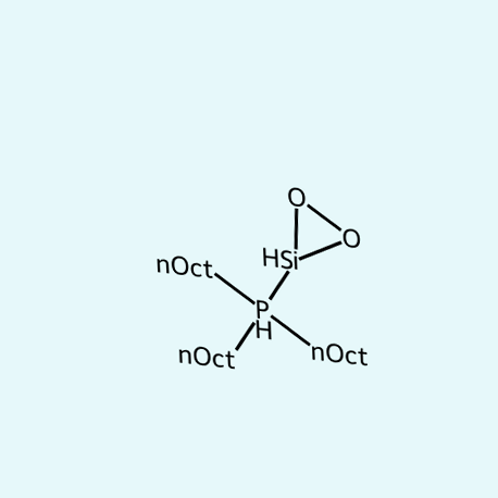 CCCCCCCC[PH](CCCCCCCC)(CCCCCCCC)[SiH]1OO1